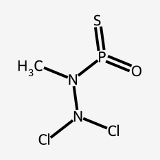 CN(N(Cl)Cl)P(=O)=S